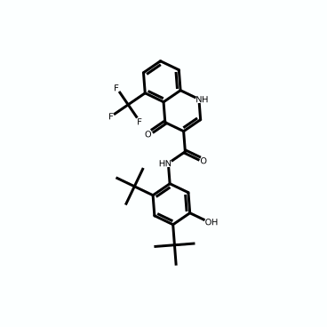 CC(C)(C)c1cc(C(C)(C)C)c(NC(=O)c2c[nH]c3cccc(C(F)(F)F)c3c2=O)cc1O